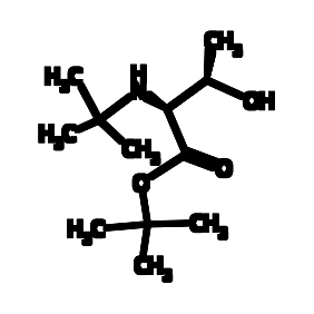 C[C@@H](O)[C@H](NC(C)(C)C)C(=O)OC(C)(C)C